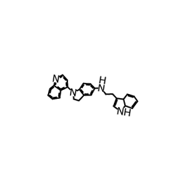 C1=CC2NC=C(CCNc3ccc4c(c3)CCN4c3ccnc4ccccc34)C2C=C1